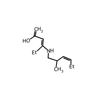 C=C(O)/C=C(\CC)NCC(C)/C=C\CC